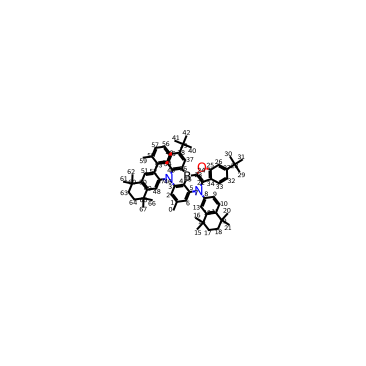 Cc1cc2c3c(c1)N(c1ccc4c(c1)C(C)(C)CCC4(C)C)c1c(oc4cc(C(C)(C)C)ccc14)B3c1cc(C(C)(C)C)ccc1N2c1cc2c(cc1-c1ccccc1C)C(C)(C)CCC2(C)C